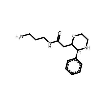 NCCCNC(=O)CC1OCCN[C@H]1c1ccccc1